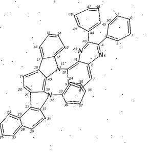 c1ccc(-c2nc3cccc(-n4c5ccccc5c5ccc6c7c8ccccc8ccc7n(-c7ccccc7)c6c54)c3nc2-c2ccccc2)cc1